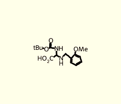 COc1ccccc1CNC(NC(=O)OC(C)(C)C)C(=O)O